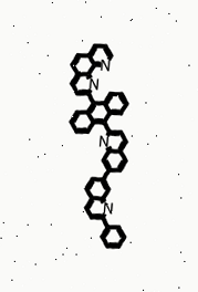 c1ccc(-c2ccc3ccc(-c4ccc5ccc(-c6c7ccccc7c(-c7ccc8ccc9cccnc9c8n7)c7ccccc67)nc5c4)cc3n2)cc1